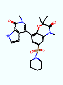 CN1C(=O)C(C)(C)Oc2c(-c3cn(C)c(=O)c4[nH]ccc34)cc(S(=O)(=O)N3CCCCC3)cc21